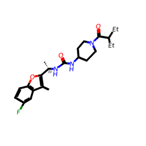 CCC(CC)C(=O)N1CCC(NC(=O)N[C@@H](C)c2oc3ccc(F)cc3c2C)CC1